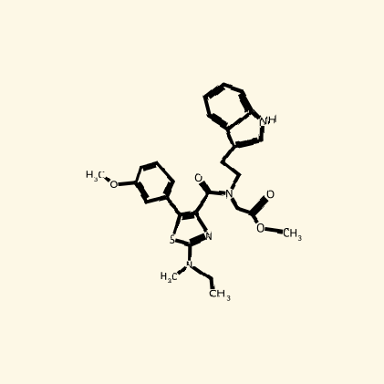 CCN(C)c1nc(C(=O)N(CCc2c[nH]c3ccccc23)CC(=O)OC)c(-c2cccc(OC)c2)s1